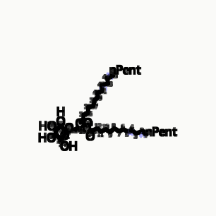 CCCCC/C=C/C/C=C/CCCCCCCC(=O)OC[C@H](CO[C@@H]1O[C@H](CO)[C@H](O)[C@H](O)[C@H]1O)OC(=O)CCCCCCC/C=C/C/C=C/CCCCC